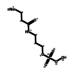 CCCCCCCCCCCC(=O)NCCCOS(=O)(=O)OO